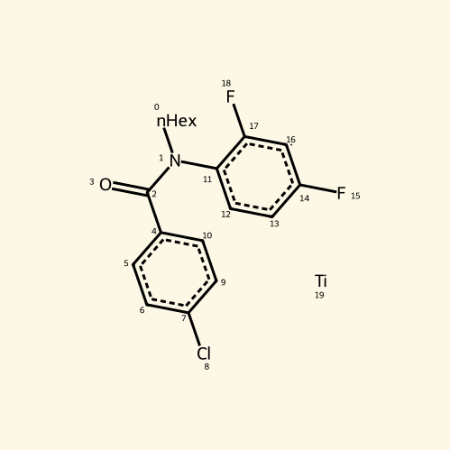 CCCCCCN(C(=O)c1ccc(Cl)cc1)c1ccc(F)[c]c1F.[Ti]